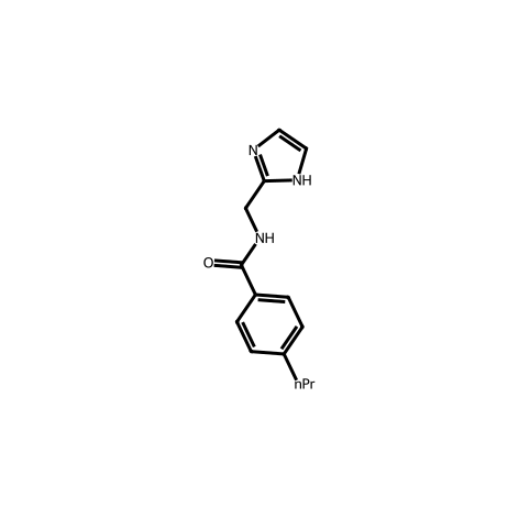 CCCc1ccc(C(=O)NCc2ncc[nH]2)cc1